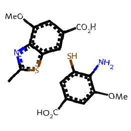 COc1cc(C(=O)O)cc(S)c1N.COc1cc(C(=O)O)cc2sc(C)nc12